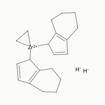 C1=C[CH]([Zr+2]2([CH]3C=CC4=C3CCCC4)[CH2][CH2]2)C2=C1CCCC2.[H-].[H-]